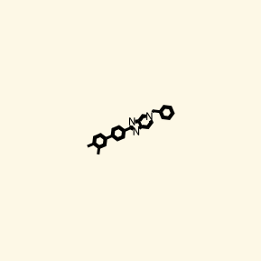 Cc1ccc(-c2ccc(-c3nc4ccn(Cc5ccccc5)cc-4n3)cc2)cc1C